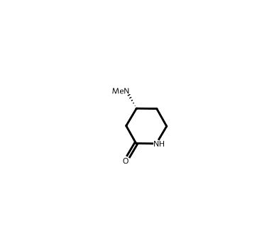 CN[C@@H]1CCNC(=O)C1